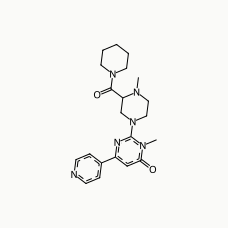 CN1CCN(c2nc(-c3ccncc3)cc(=O)n2C)CC1C(=O)N1CCCCC1